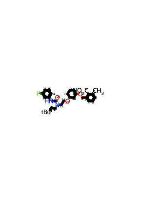 Cc1cccc(COC2CCCC(OCCN(CCC(C)(C)C)C(=O)Nc3cccc(F)c3)C2)c1C(=O)O